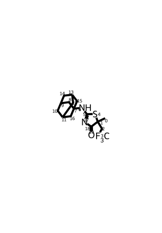 CC1(CC(F)(F)F)SC(NC23CC4CC(CC(C4)C2)C3)=NC1=O